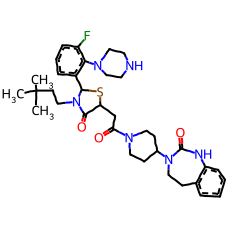 CC(C)(C)CCN1C(=O)C(CC(=O)N2CCC(N3CCc4ccccc4NC3=O)CC2)SC1c1cccc(F)c1N1CCNCC1